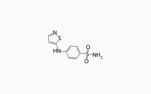 NS(=O)(=O)c1ccc(Nc2ccns2)cc1